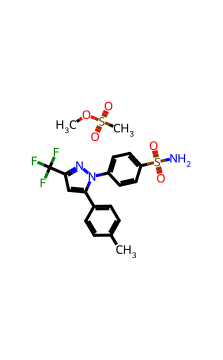 COS(C)(=O)=O.Cc1ccc(-c2cc(C(F)(F)F)nn2-c2ccc(S(N)(=O)=O)cc2)cc1